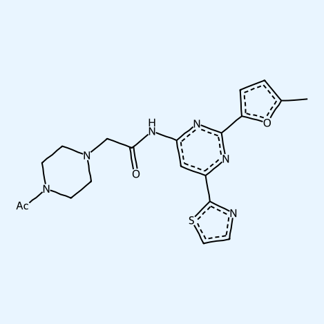 CC(=O)N1CCN(CC(=O)Nc2cc(-c3nccs3)nc(-c3ccc(C)o3)n2)CC1